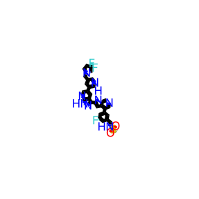 CS(=O)(=O)NCc1cc(F)cc(-c2cncc3[nH]c(-c4n[nH]c5ncc(-c6cncc(CN7CCC(F)(F)C7)c6)cc45)cc23)c1